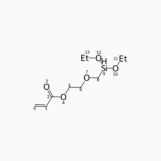 C=CC(=O)OCCOC[SiH](OCC)OCC